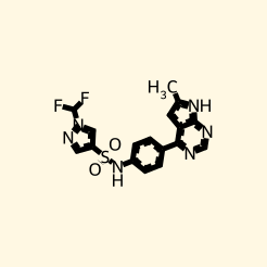 Cc1cc2c(-c3ccc(NS(=O)(=O)c4cnn(C(F)F)c4)cc3)ncnc2[nH]1